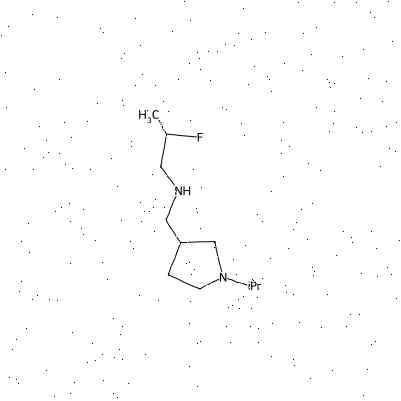 CC(F)CNCC1CCN(C(C)C)C1